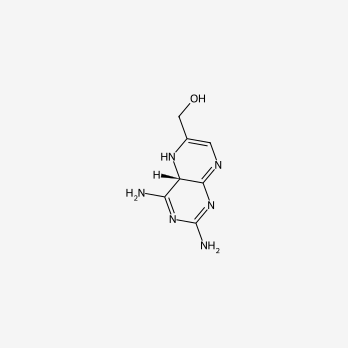 NC1=NC2=NC=C(CO)N[C@H]2C(N)=N1